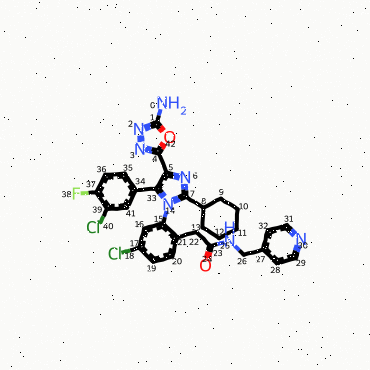 Nc1nnc(-c2nc(C3CCCCC3)n(-c3cc(Cl)ccc3CC(=O)NCc3ccncc3)c2-c2ccc(F)c(Cl)c2)o1